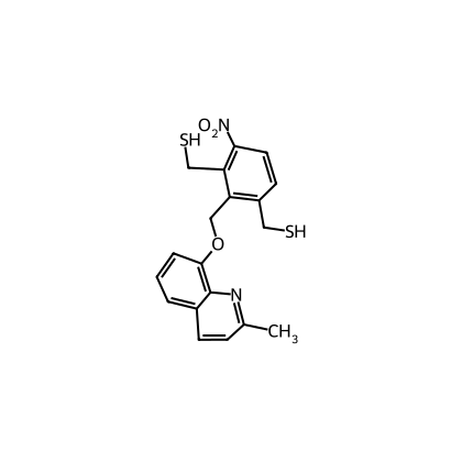 Cc1ccc2cccc(OCc3c(CS)ccc([N+](=O)[O-])c3CS)c2n1